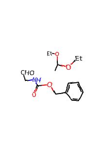 CCOC(C)OCC.O=CCNC(=O)OCc1ccccc1